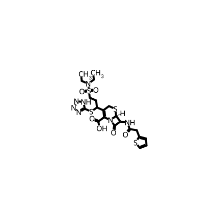 CCN(CC)S(=O)(=O)CCC(Sc1nnn[nH]1)C1=C(C(=O)O)N2C(=O)C(NC(=O)Cc3cccs3)[C@@H]2SC1